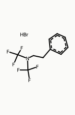 Br.FC(F)(F)N(CCc1ccccc1)C(F)(F)F